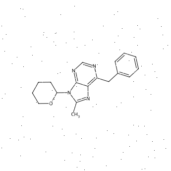 Cc1nc2c(Cc3ccccc3)ncnc2n1C1CCCCO1